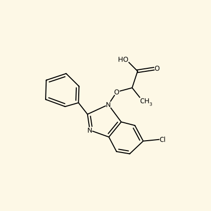 CC(On1c(-c2ccccc2)nc2ccc(Cl)cc21)C(=O)O